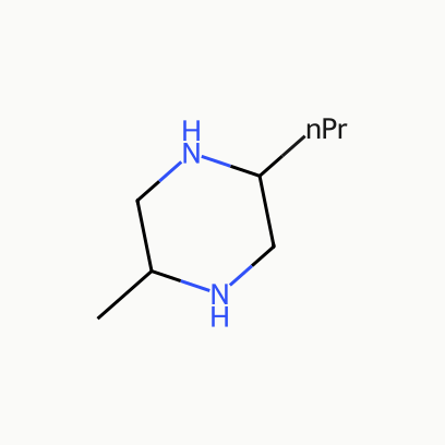 [CH2]CCC1CNC(C)CN1